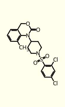 Cc1cccc2c1N(C1CCN(S(=O)(=O)c3ccc(Cl)cc3Cl)CC1)C(=O)OC2